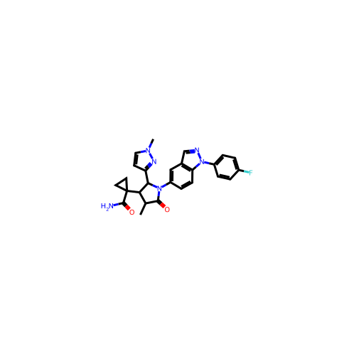 CC1C(=O)N(c2ccc3c(cnn3-c3ccc(F)cc3)c2)C(c2ccn(C)n2)C1C1(C(N)=O)CC1